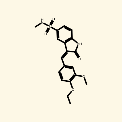 CCOc1ccc(C=C2C(=O)Nc3ccc(S(=O)(=O)NC)cc32)cc1OC